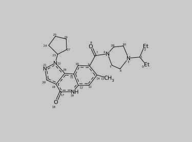 CCC(CC)N1CCN(C(=O)c2cc3c(cc2C)[nH]c(=O)c2cnn(C4CCCC4)c23)CC1